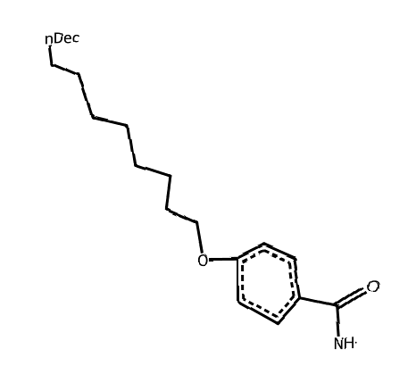 CCCCCCCCCCCCCCCCCCOc1ccc(C([NH])=O)cc1